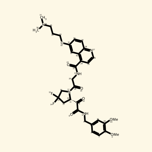 COc1ccc(CNC(=O)C(=O)[C@@H]2CC(F)(F)CN2C(=O)CNC(=O)c2ccnc3ccc(OCCCN(C)C)cc23)cc1OC